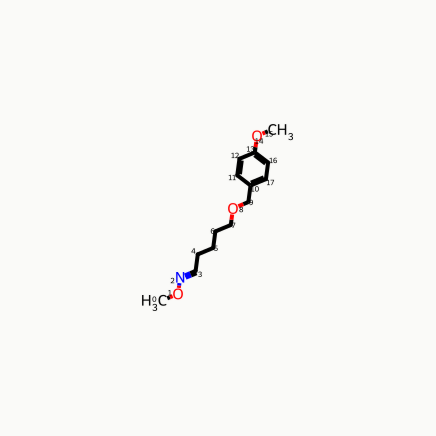 CON=CCCCCOCc1ccc(OC)cc1